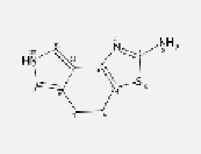 Nc1nc2c(s1)CCc1c[nH]cc1-2